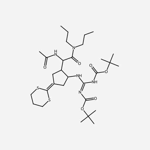 CCCN(CCC)C(=O)C(NC(C)=O)C1CC(=C2SCCCS2)CC1NC(=NC(=O)OC(C)(C)C)NC(=O)OC(C)(C)C